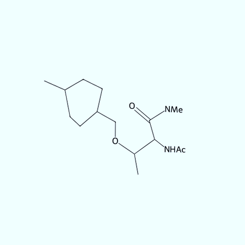 CNC(=O)C(NC(C)=O)C(C)OCC1CCC(C)CC1